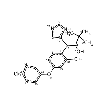 CC(C)(C)C(O)C(c1ccc(Oc2ccc(Cl)cc2)cc1Cl)n1cncn1